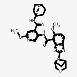 COc1cc(C(=O)NC23CCC(CC2)CC3)c(NC(=O)c2c(OC)ccc3nc(N4C5COCC4C5)sc23)cn1